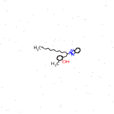 CCCCCCCCCCC(Cc1cccc(C)c1O)n1nc2ccccc2n1